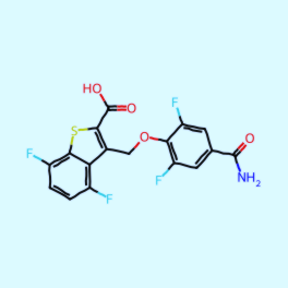 NC(=O)c1cc(F)c(OCc2c(C(=O)O)sc3c(F)ccc(F)c23)c(F)c1